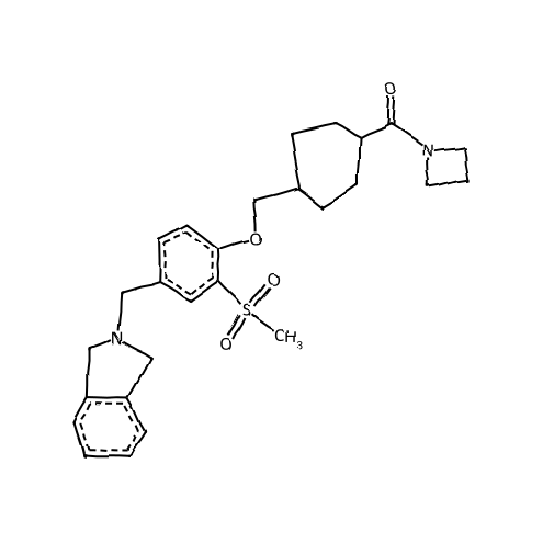 CS(=O)(=O)c1cc(CN2Cc3ccccc3C2)ccc1OCC1CCC(C(=O)N2CCC2)CC1